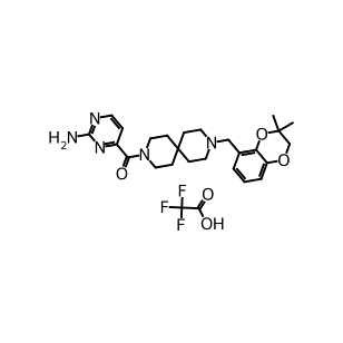 CC1(C)COc2cccc(CN3CCC4(CC3)CCN(C(=O)c3ccnc(N)n3)CC4)c2O1.O=C(O)C(F)(F)F